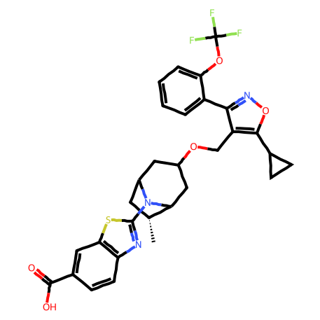 C[C@@H]1CC2CC(OCc3c(-c4ccccc4OC(F)(F)F)noc3C3CC3)CC1N2c1nc2ccc(C(=O)O)cc2s1